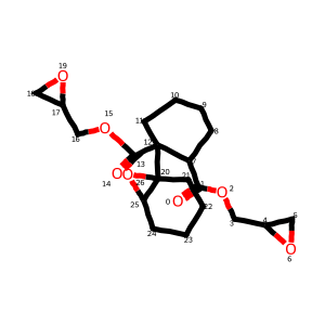 O=C(OCC1CO1)C1CCCCC1(C(=O)OCC1CO1)C12CCCCC1O2